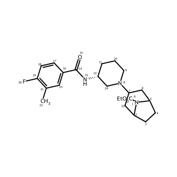 CCOC(=O)N1C2CCC1CC(N1CCC[C@@H](NC(=O)c3ccc(F)c(C)c3)C1)C2